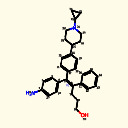 Nc1ccc(/C(=C(\CCCO)c2ccccc2)c2ccc(C3CCN(C4CC4)CC3)cc2)cc1